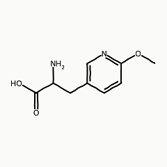 COc1ccc(CC(N)C(=O)O)cn1